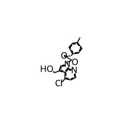 Cc1ccc(S(=O)(=O)n2cc(CO)c3c(Cl)ccnc32)cc1